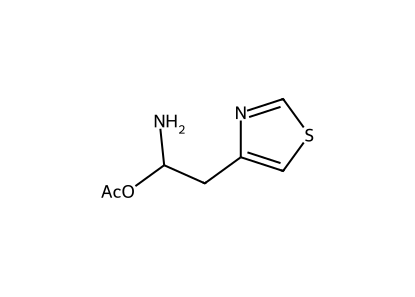 CC(=O)OC(N)Cc1cscn1